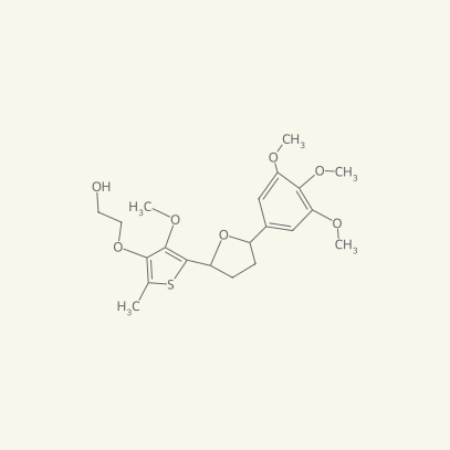 COc1cc(C2CCC(c3sc(C)c(OCCO)c3OC)O2)cc(OC)c1OC